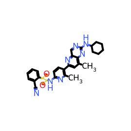 Cc1nc(NS(=O)(=O)c2ccccc2C#N)ccc1-c1cc(C)c2nc(NC3CCCCC3)ncc2n1